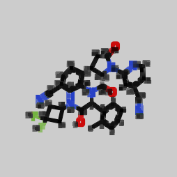 Cc1ccccc1C(C(=O)NC1CC(F)(F)C1)N(C(=O)[C@@H]1CCC(=O)N1c1cc(C#N)ccn1)c1cccc(C#N)c1